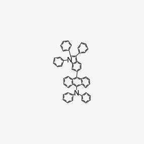 c1ccc(-c2c(-c3ccccc3)n(-c3ccccc3)c3cc(-c4c5ccccc5c(N(c5ccccc5)c5ccccc5)c5ccccc45)ccc23)cc1